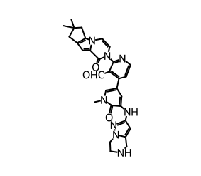 Cn1cc(-c2ccnc(-n3ccn4c5c(cc4c3=O)CC(C)(C)C5)c2C=O)cc(Nc2cc3n(n2)CCNC3)c1=O